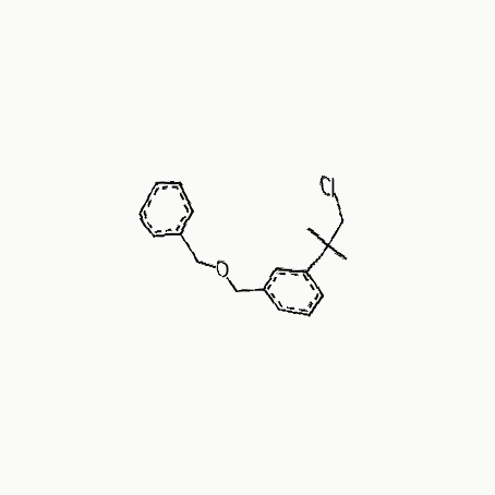 CC(C)(CCl)c1cccc(COCc2ccccc2)c1